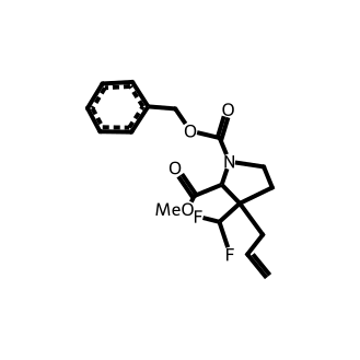 C=CCC1(C(F)F)CCN(C(=O)OCc2ccccc2)C1C(=O)OC